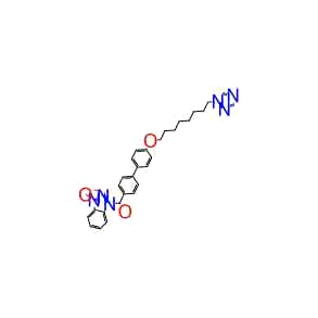 O=C(c1ccc(-c2ccc(OCCCCCCCCn3cncn3)cc2)cc1)n1n[n+]([O-])c2ccccc21